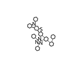 c1ccc(-c2nc(-c3ccccc3)nc(-c3cc(-c4ccccc4-c4ccccc4)ccc3-c3ccc4c(c3)sc3cc5c(cc34)c3ccccc3n5-c3ccccc3)n2)cc1